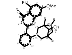 CCc1cc(OC)cc2nc(-c3cccnc3N3CC4(C)CN(C)C(C)(C3)C4O)oc(=O)c12